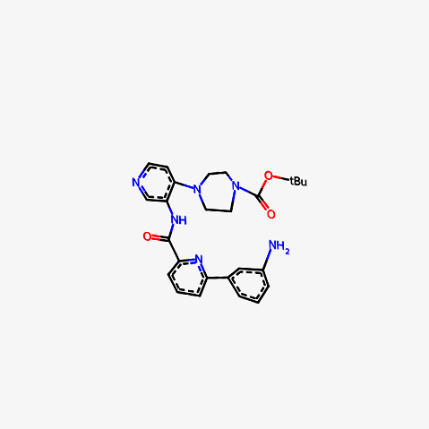 CC(C)(C)OC(=O)N1CCN(c2ccncc2NC(=O)c2cccc(-c3cccc(N)c3)n2)CC1